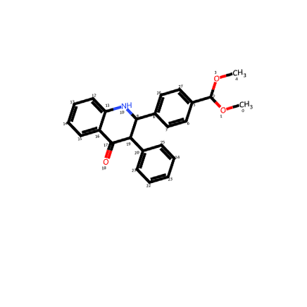 COC(OC)c1ccc(C2Nc3ccccc3C(=O)C2c2ccccc2)cc1